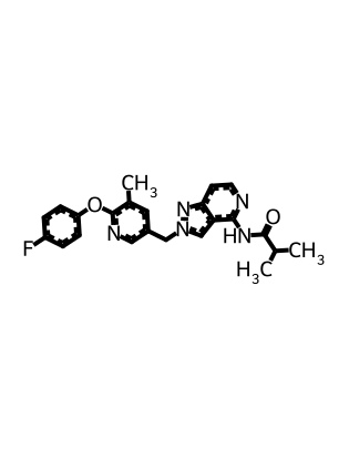 Cc1cc(Cn2cc3c(NC(=O)C(C)C)nccc3n2)cnc1Oc1ccc(F)cc1